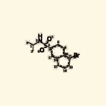 CC(C)NS(=O)(=O)c1ccc2c(Br)cccc2c1